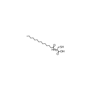 CCCCCCCCCCCCCC(=O)N[C@@H](CS)C(=O)O